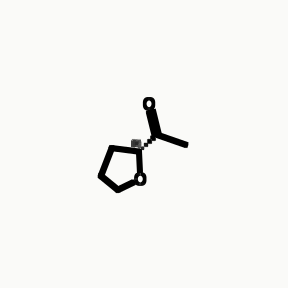 CC(=O)[C@H]1CCCO1